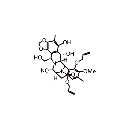 C=CCOC(=O)N1C2c3c(cc(C)c(OC)c3OCC=C)C[C@H]1[C@H](C#N)N1[C@H]2[C@@H](O)c2c(O)c(C)c3c(c2[C@@H]1CO)OCO3